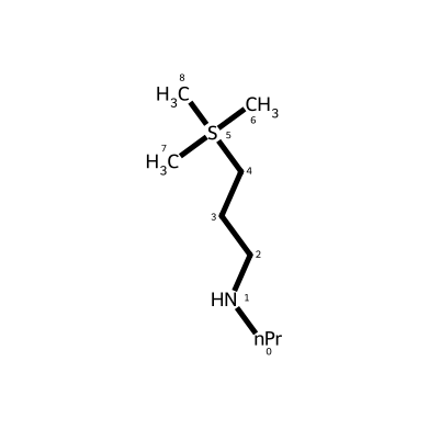 CCCNCCCS(C)(C)C